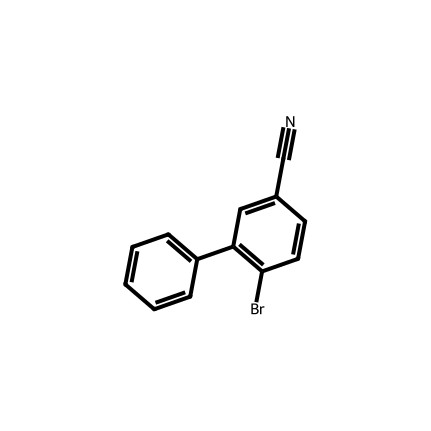 N#Cc1ccc(Br)c(-c2ccccc2)c1